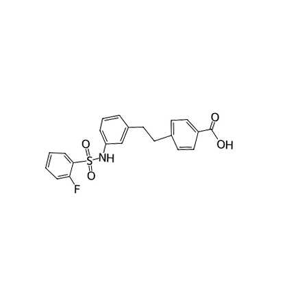 O=C(O)c1ccc(CCc2cccc(NS(=O)(=O)c3ccccc3F)c2)cc1